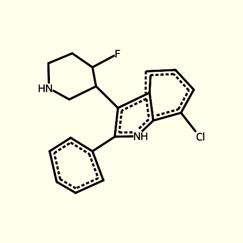 FC1CCNCC1c1c(-c2ccccc2)[nH]c2c(Cl)cccc12